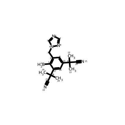 Bc1c(Cn2cncn2)cc(C(C)(C)C#N)cc1C(C)(C)C#N